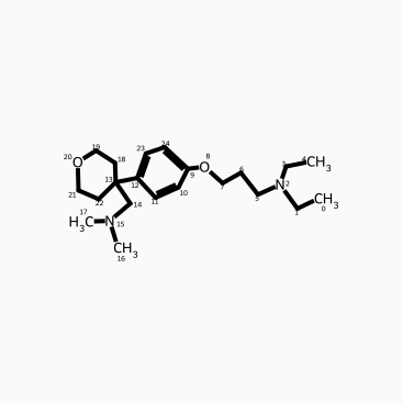 CCN(CC)CCCOc1ccc(C2(CN(C)C)CCOCC2)cc1